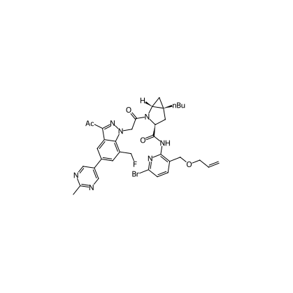 C=CCOCc1ccc(Br)nc1NC(=O)[C@@H]1C[C@@]2(CCCC)C[C@H]2N1C(=O)Cn1nc(C(C)=O)c2cc(-c3cnc(C)nc3)cc(CF)c21